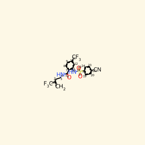 C=C(CCNC(=O)c1ccc(C(F)(F)F)cc1NS(=O)(=O)c1ccc(C#N)cc1)C(F)(F)F